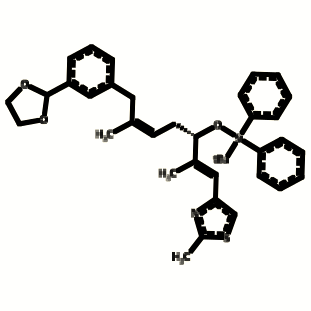 CC(=CC[C@H](O[Si](c1ccccc1)(c1ccccc1)C(C)(C)C)C(C)=Cc1csc(C)n1)Cc1cccc(C2OCCO2)c1